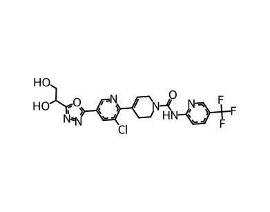 O=C(Nc1ccc(C(F)(F)F)cn1)N1CC=C(c2ncc(-c3nnc(C(O)CO)o3)cc2Cl)CC1